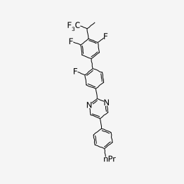 CCCc1ccc(-c2cnc(-c3ccc(-c4cc(F)c(C(C)C(F)(F)F)c(F)c4)c(F)c3)nc2)cc1